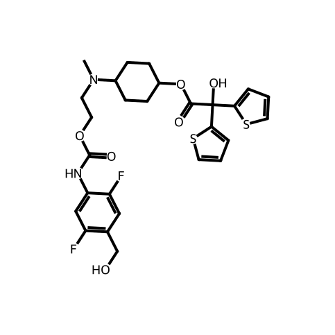 CN(CCOC(=O)Nc1cc(F)c(CO)cc1F)C1CCC(OC(=O)C(O)(c2cccs2)c2cccs2)CC1